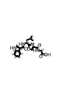 CC(C)C[C@H](NC(=O)c1c[nH]c2ccccc12)c1nc(C(=O)NCC(=O)O)co1